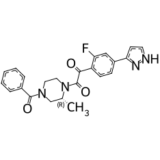 C[C@@H]1CN(C(=O)c2ccccc2)CCN1C(=O)C(=O)c1ccc(-c2cc[nH]n2)cc1F